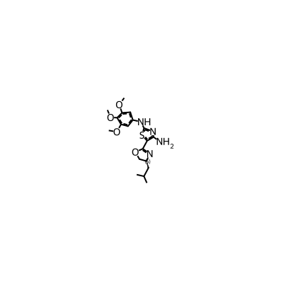 COc1cc(Nc2nc(N)c(C3=N[C@@H](CC(C)C)CO3)s2)cc(OC)c1OC